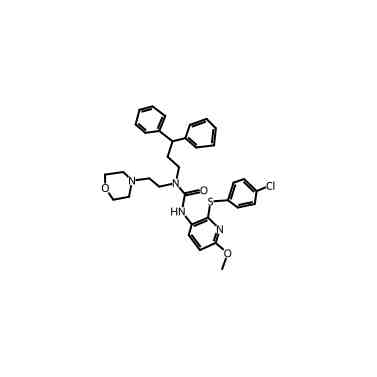 COc1ccc(NC(=O)N(CCC(c2ccccc2)c2ccccc2)CCN2CCOCC2)c(Sc2ccc(Cl)cc2)n1